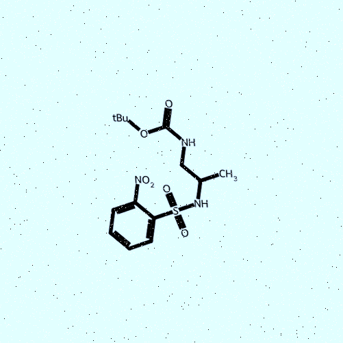 CC(CNC(=O)OC(C)(C)C)NS(=O)(=O)c1ccccc1[N+](=O)[O-]